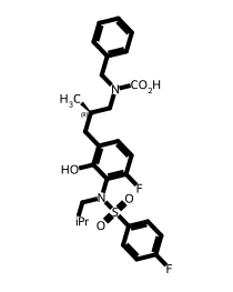 CC(C)CN(c1c(F)ccc(C[C@@H](C)CN(Cc2ccccc2)C(=O)O)c1O)S(=O)(=O)c1ccc(F)cc1